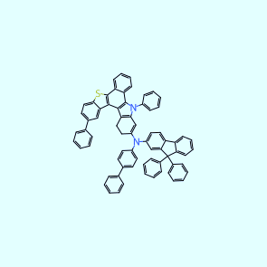 C1=C(N(c2ccc(-c3ccccc3)cc2)c2ccc3c(c2)C(c2ccccc2)(c2ccccc2)c2ccccc2-3)CCc2c1n(-c1ccccc1)c1c3ccccc3c3sc4ccc(-c5ccccc5)cc4c3c21